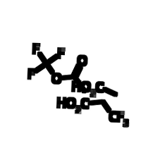 CC(=O)O.CC(=O)OC(F)(F)F.O=C(O)CC(F)(F)F